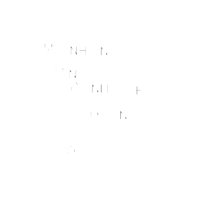 Cc1cc([C@@H](C)Nc2cccnc2-c2noc(=O)[nH]2)c2oc(-c3cccc(C(C)F)n3)c(C)c(=O)c2c1